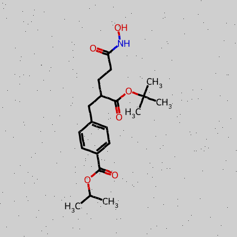 CC(C)OC(=O)c1ccc(CC(CCC(=O)NO)C(=O)OC(C)(C)C)cc1